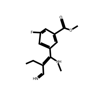 CC/C(C=N)=C(/NC)c1cc(F)cc(C(=O)OC)c1